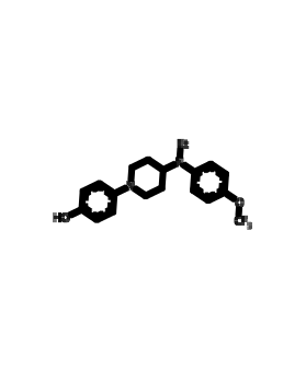 CCN(c1ccc(OC(F)(F)F)cc1)C1CCN(c2ccc(O)cc2)CC1